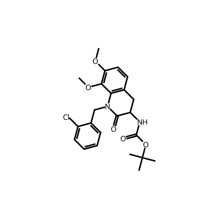 COc1ccc2c(c1OC)N(Cc1ccccc1Cl)C(=O)C(NC(=O)OC(C)(C)C)C2